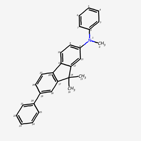 CN(c1ccccc1)c1ccc2c(c1)C(C)(C)c1cc(-c3ccccc3)ccc1-2